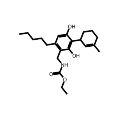 CCCCCc1cc(O)c(C2C=C(C)CCC2)c(O)c1CNC(=O)OCC